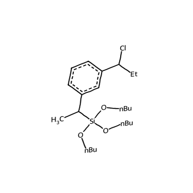 CCCCO[Si](OCCCC)(OCCCC)C(C)c1cccc(C(Cl)CC)c1